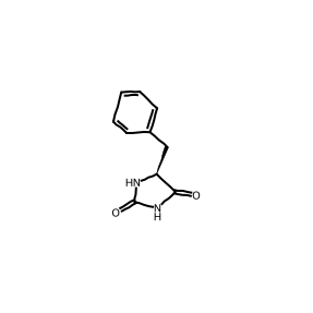 O=C1NC(=O)[C@H](Cc2ccccc2)N1